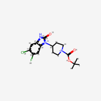 CC(C)(C)OC(=O)N1CCC(n2c(=O)[nH]c3cc(Cl)c(F)cc32)CC1